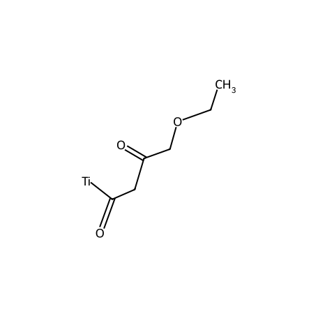 CCOCC(=O)C[C](=O)[Ti]